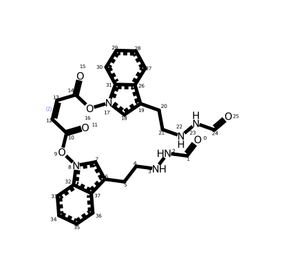 O=CNNCCc1cn(OC(=O)/C=C\C(=O)On2cc(CCNNC=O)c3ccccc32)c2ccccc12